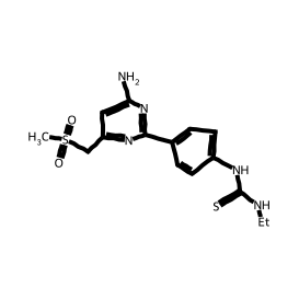 CCNC(=S)Nc1ccc(-c2nc(N)cc(CS(C)(=O)=O)n2)cc1